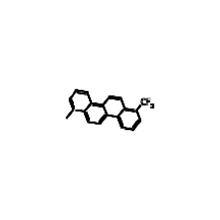 Cc1cccc2c1ccc1c3cccc(C(F)(F)F)c3ccc21